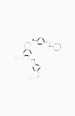 CCCCCCCOc1ccc(C(=O)Oc2ccc(CC(NC(=O)c3ccc(NC(=O)C4CCCCC4)cc3)C(C)=O)cc2OC)cc1